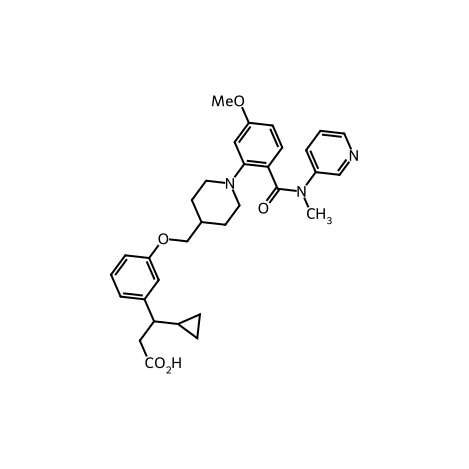 COc1ccc(C(=O)N(C)c2cccnc2)c(N2CCC(COc3cccc(C(CC(=O)O)C4CC4)c3)CC2)c1